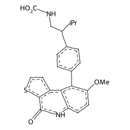 COc1ccc2[nH]c(=O)c3sccc3c2c1-c1ccc(C(CNC(=O)O)C(C)C)cc1